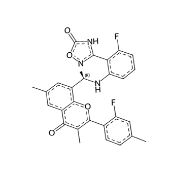 Cc1ccc(-c2oc3c([C@@H](C)Nc4cccc(F)c4-c4noc(=O)[nH]4)cc(C)cc3c(=O)c2C)c(F)c1